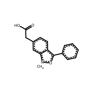 C.O=C(O)Cc1ccc2c(-c3ccccc3)onc2c1